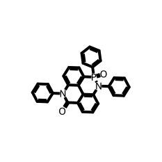 O=c1c2cccc3c2c2c(cccc2n1-c1ccccc1)P(=O)(c1ccccc1)N3c1ccccc1